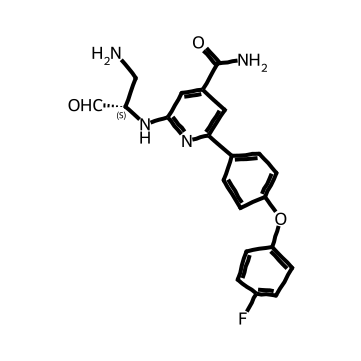 NC[C@@H](C=O)Nc1cc(C(N)=O)cc(-c2ccc(Oc3ccc(F)cc3)cc2)n1